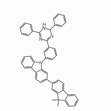 CC1(C)c2ccccc2-c2ccc(-c3ccc4c5ccccc5n(-c5cccc(C6=NC(c7ccccc7)NC(c7ccccc7)=N6)c5)c4c3)cc21